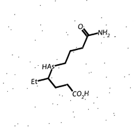 CCC(CCC(=O)O)[AsH]CCCC(N)=O